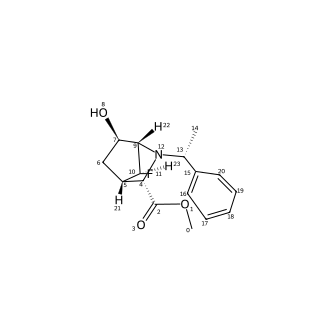 COC(=O)[C@@H]1[C@@H]2C[C@@H](O)[C@@H]([C@H]2F)N1[C@H](C)c1ccccc1